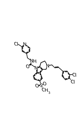 CS(=O)(=O)c1ccc2c(c1)c1c(n2C(=O)NCc2ccnc(Cl)c2)CCN(CC=Cc2ccc(Cl)c(Cl)c2)C1